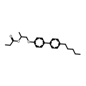 CCCCCc1ccc(-c2ccc(OCC(C)OC(=O)CC)cc2)cc1